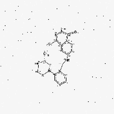 C[C@@H]1CN(c2ccccc2CNc2ccc3c(=O)[nH]nc(Cl)c3c2)CCN1